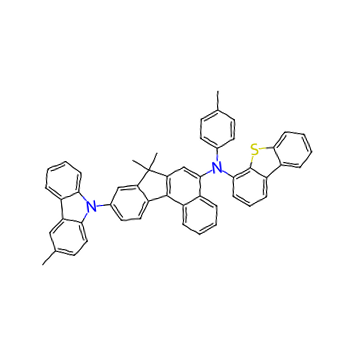 Cc1ccc(N(c2cc3c(c4ccccc24)-c2ccc(-n4c5ccccc5c5cc(C)ccc54)cc2C3(C)C)c2cccc3c2sc2ccccc23)cc1